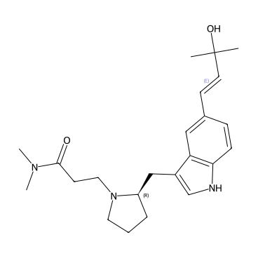 CN(C)C(=O)CCN1CCC[C@@H]1Cc1c[nH]c2ccc(/C=C/C(C)(C)O)cc12